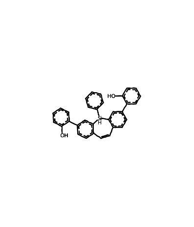 Oc1ccccc1-c1ccc2c(c1)[SiH](c1ccccc1)c1cc(-c3ccccc3O)ccc1C=C2